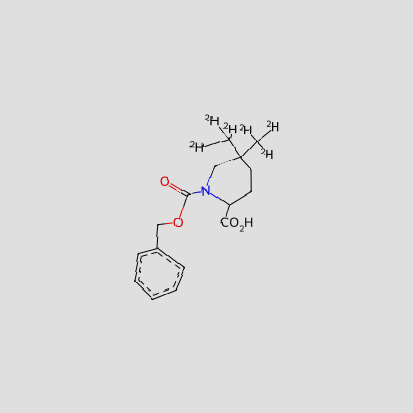 [2H]C([2H])([2H])C1(C([2H])([2H])[2H])CCC(C(=O)O)N(C(=O)OCc2ccccc2)C1